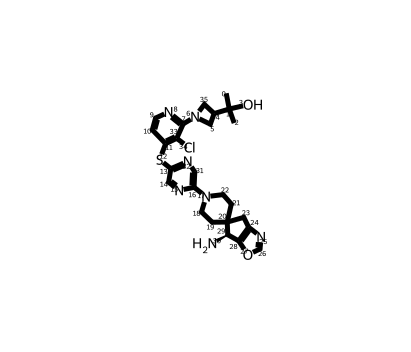 CC(C)(O)C1CN(c2nccc(Sc3cnc(N4CCC5(CC4)Cc4ncoc4[C@H]5N)cn3)c2Cl)C1